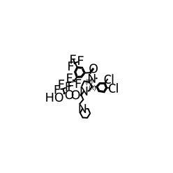 CN(C(=O)c1cc(C(F)(F)F)cc(C(F)(F)F)c1)[C@@H]1CCN(C(=O)CCN2CCCCC2)C[C@H]1c1ccc(Cl)c(Cl)c1.O=C(O)C(F)(F)F